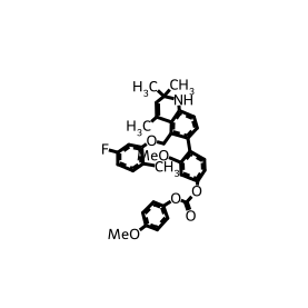 COc1ccc(OC(=O)Oc2ccc(-c3ccc4c(c3COc3cc(F)ccc3C)C(C)=CC(C)(C)N4)c(OC)c2)cc1